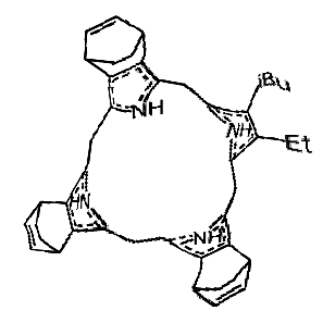 CCc1c2[nH]c(c1C(C)CC)Cc1[nH]c(c3c1C1C=CC3CC1)Cc1[nH]c(c3c1C1C=CC3CC1)Cc1[nH]c(c3c1C1C=CC3CC1)C2